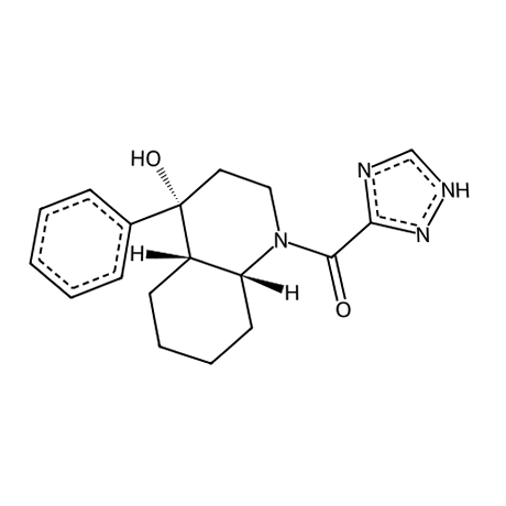 O=C(c1nc[nH]n1)N1CC[C@](O)(c2ccccc2)[C@H]2CCCC[C@H]21